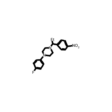 CCC(c1ccc([N+](=O)[O-])cc1)N1CCN(c2ccc(F)cc2)CC1